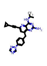 CC(Nc1nc(N)nc2c(Cc3ccc(-n4cncn4)cc3)cc(C#CC3CC3)nc12)C(F)(F)F